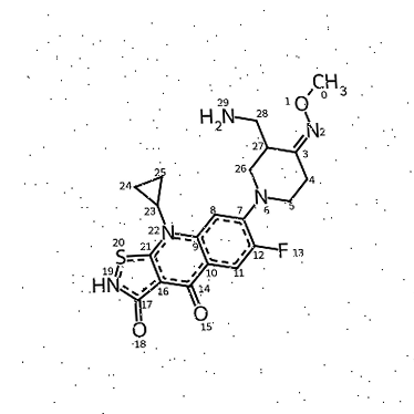 CO/N=C1/CCN(c2cc3c(cc2F)c(=O)c2c(=O)[nH]sc2n3C2CC2)CC1CN